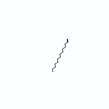 [Ag].[CH]=CCCCCCCCCCCCC